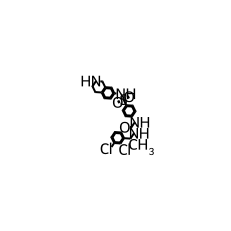 CC(NC(=O)Nc1ccc(S(=O)(=O)Nc2ccc3c(c2)CNCC3)cc1)c1cccc(Cl)c1Cl